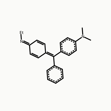 CCN=C1C=CC(=C(c2ccccc2)c2ccc(N(C)C)cc2)C=C1